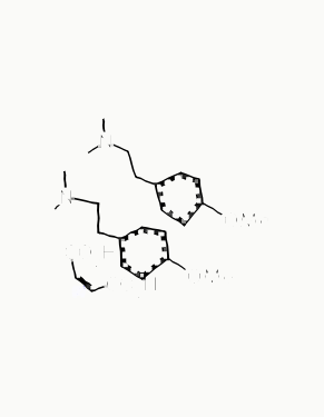 COc1ccc(CCN(C)C)cc1.COc1ccc(CCN(C)C)cc1.O=C(O)/C=C\C(=O)O